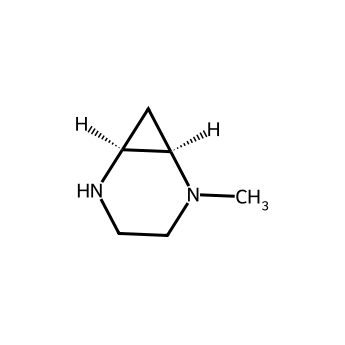 CN1CCN[C@H]2C[C@H]21